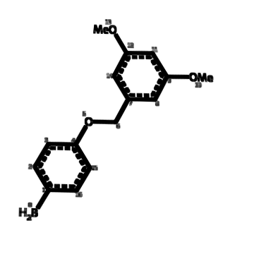 Bc1ccc(OCc2cc(OC)cc(OC)c2)cc1